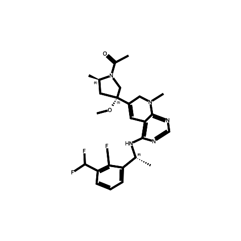 CO[C@]1(C2=Cc3c(N[C@H](C)c4cccc(C(F)F)c4F)ncnc3N(C)C2)C[C@@H](C)N(C(C)=O)C1